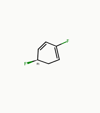 FC1=CC[C@@H](F)C=C1